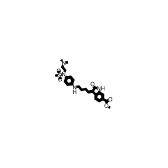 COC(=O)c1ccc2c(c1)NC(=O)/C2=C\CCCNc1ccc(N(CCN(C)C)S(C)(=O)=O)cc1